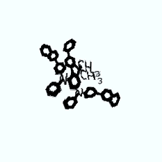 CC1(C)c2cc(-c3ccccc3)ccc2-c2c(N(c3ccccc3)c3ccc(-c4ccc5ccccc5c4)cc3)cc(N(c3ccccc3)c3ccc(-c4ccc5ccccc5c4)cc3)cc21